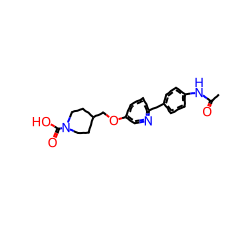 CC(=O)Nc1ccc(-c2ccc(OCC3CCN(C(=O)O)CC3)cn2)cc1